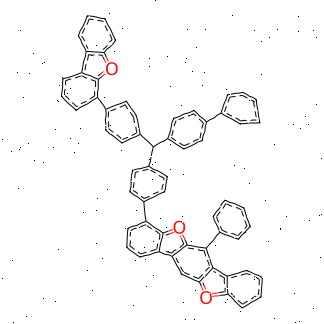 c1ccc(-c2ccc(C(c3ccc(-c4cccc5c4oc4ccccc45)cc3)c3ccc(-c4cccc5c4oc4c(-c6ccccc6)c6c(cc45)oc4ccccc46)cc3)cc2)cc1